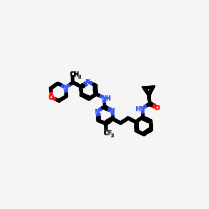 CC(c1ccc(Nc2ncc(C(F)(F)F)c(CCc3ccccc3NC(=O)C3CC3)n2)cn1)N1CCOCC1